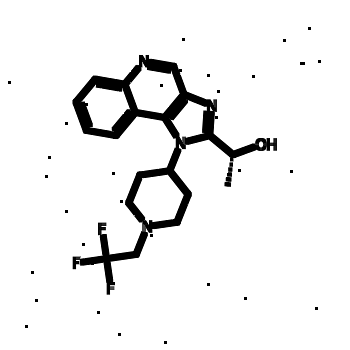 C[C@@H](O)c1nc2cnc3ccccc3c2n1C1CCN(CC(F)(F)F)CC1